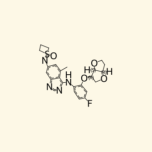 Cc1cc(N=S2(=O)CCC2)cc2ncnc(Nc3ccc(F)cc3O[C@@H]3CO[C@@H]4CCO[C@@H]43)c12